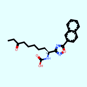 CCC(=O)CCCCC[C@H](NC(=O)O)c1noc(-c2ccc3ccccc3c2)n1